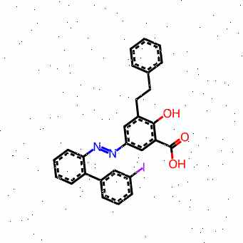 O=C(O)c1cc(N=Nc2ccccc2-c2cccc(I)c2)cc(CCc2ccccc2)c1O